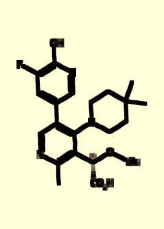 Cc1ncc(-c2cnc(O)c(F)c2)c(N2CCC(C)(C)CC2)c1[C@H](OC(C)(C)C)C(=O)O